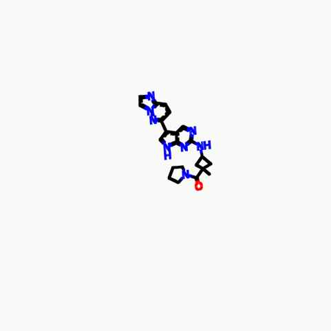 CC1(C(=O)N2CCCC2)CC(Nc2ncc3c(-c4ccc5nccn5n4)c[nH]c3n2)C1